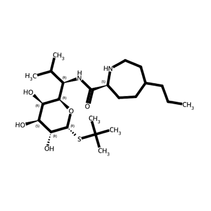 CCCC1CCN[C@H](C(=O)N[C@H](C(C)C)[C@H]2O[C@H](SC(C)(C)C)[C@H](O)[C@@H](O)[C@H]2O)CC1